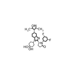 Cc1noc(C)c1-c1ccc2c(c1)nc([C@@H]1CCC(=O)N1c1cc(F)cc(F)c1)n2C1CCS(O)(O)CC1